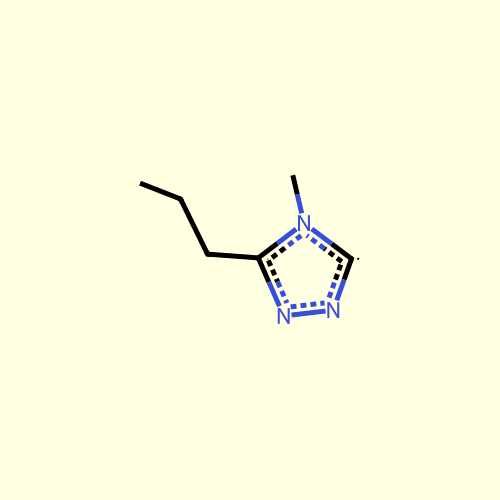 CCCc1nn[c]n1C